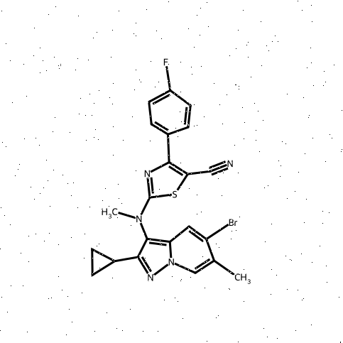 Cc1cn2nc(C3CC3)c(N(C)c3nc(-c4ccc(F)cc4)c(C#N)s3)c2cc1Br